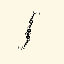 C=CCCCCCOc1ccc(C(=O)Oc2ccc(OCCCC3CCC(CCCCCCC)CC3)cc2)cc1